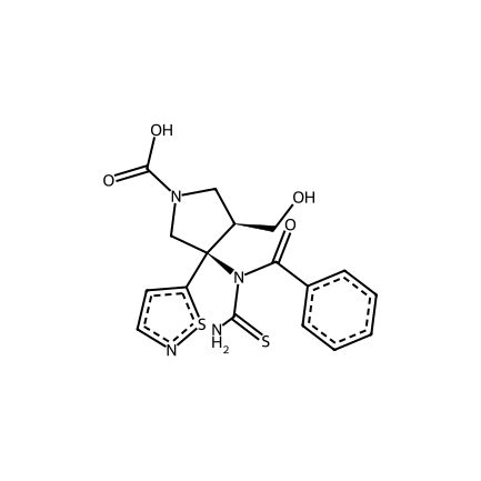 NC(=S)N(C(=O)c1ccccc1)[C@@]1(c2ccns2)CN(C(=O)O)C[C@H]1CO